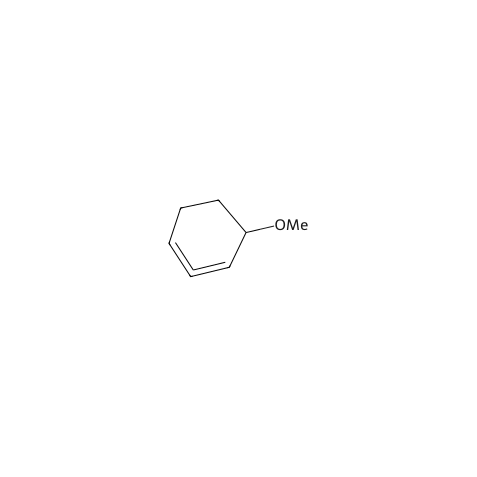 COC1C=C=CCC1